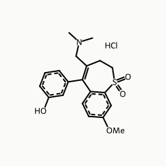 COc1ccc2c(c1)S(=O)(=O)CCC(CN(C)C)=C2c1cccc(O)c1.Cl